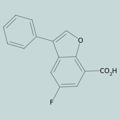 O=C(O)c1cc(F)cc2c(-c3ccccc3)coc12